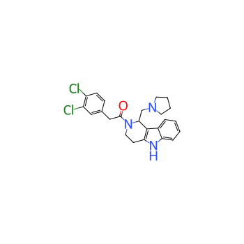 O=C(Cc1ccc(Cl)c(Cl)c1)N1CCc2[nH]c3ccccc3c2C1CN1CCCC1